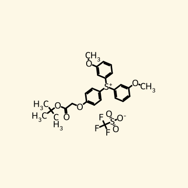 COc1cccc([S+](c2ccc(OCC(=O)OC(C)(C)C)cc2)c2cccc(OC)c2)c1.O=S(=O)([O-])C(F)(F)F